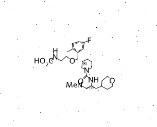 CNC[C@H](CC1CCOCC1)NC(=O)N1CCC[C@@H](C(OCCNC(=O)O)c2cc(F)ccc2C)C1